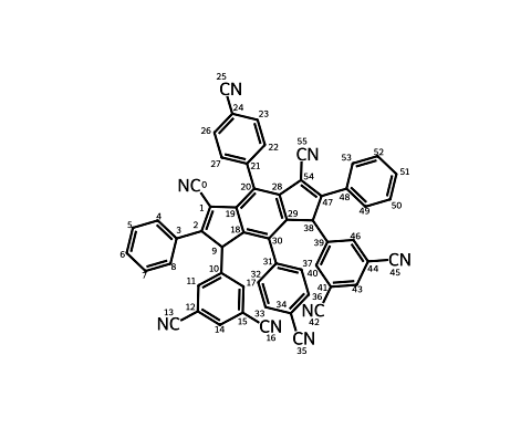 N#CC1=C(c2ccccc2)C(c2cc(C#N)cc(C#N)c2)c2c1c(-c1ccc(C#N)cc1)c1c(c2-c2ccc(C#N)cc2)C(c2cc(C#N)cc(C#N)c2)C(c2ccccc2)=C1C#N